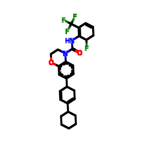 O=C(NC1=C(C(F)(F)F)C=CCC1F)N1CCOc2cc(C3C=CC(C4CCCCC4)=CC3)ccc21